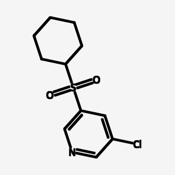 O=S(=O)(c1cncc(Cl)c1)C1CCCCC1